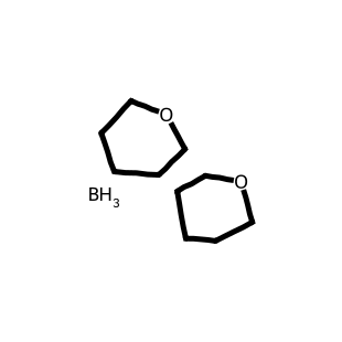 B.C1CCOCC1.C1CCOCC1